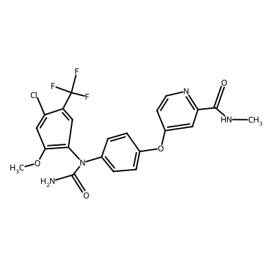 CNC(=O)c1cc(Oc2ccc(N(C(N)=O)c3cc(C(F)(F)F)c(Cl)cc3OC)cc2)ccn1